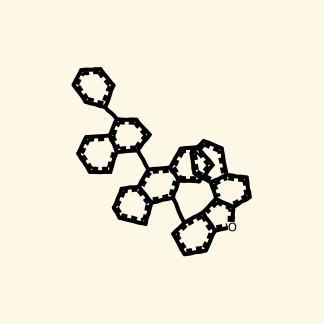 c1ccc(-c2ccc(-c3c4ccccc4c(-c4cccc5oc6ccc7ccccc7c6c45)c4ccccc34)c3ccccc23)cc1